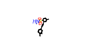 CNS(=O)(=O)c1ccc(C)cc1C#Cc1ccc(C)cc1